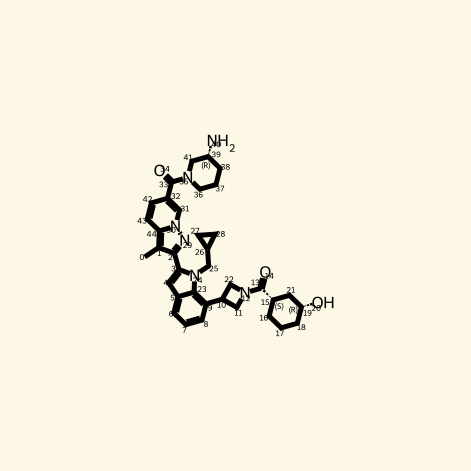 Cc1c(-c2cc3cccc(C4CN(C(=O)[C@H]5CCC[C@@H](O)C5)C4)c3n2CC2CC2)nn2cc(C(=O)N3CCC[C@@H](N)C3)ccc12